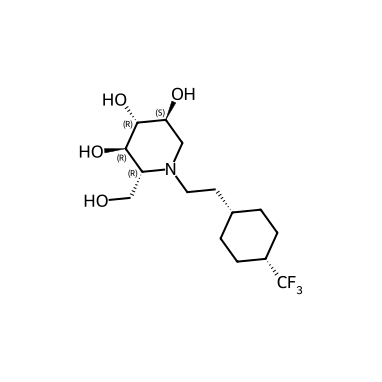 OC[C@@H]1[C@@H](O)[C@H](O)[C@@H](O)CN1CC[C@H]1CC[C@@H](C(F)(F)F)CC1